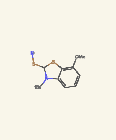 COc1cccc2c1SC(S[N])N2C(C)(C)C